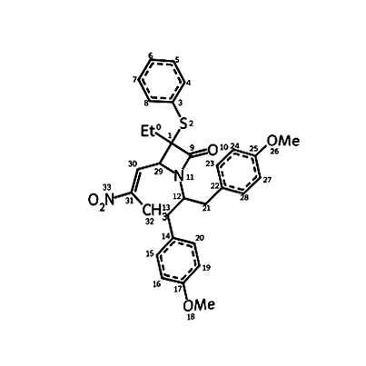 CCC1(Sc2ccccc2)C(=O)N(C(Cc2ccc(OC)cc2)Cc2ccc(OC)cc2)C1C=C(C)[N+](=O)[O-]